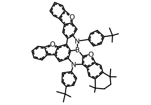 CC(C)(C)c1ccc(N2B3c4oc5cc6c(cc5c4N(c4ccc(C(C)(C)C)cc4)c4cc5c(oc7ccccc75)c(c43)-c3cc4c(cc32)oc2ccccc24)C(C)(C)CCC6(C)C)cc1